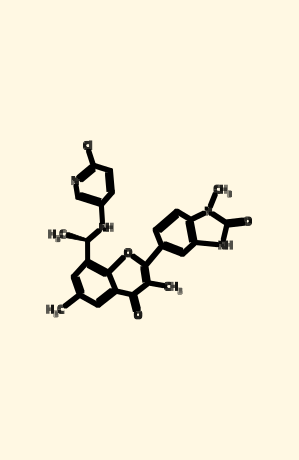 Cc1cc([C@@H](C)Nc2ccc(Cl)nc2)c2oc(-c3ccc4c(c3)[nH]c(=O)n4C)c(C)c(=O)c2c1